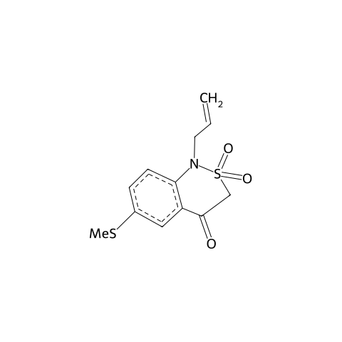 C=CCN1c2ccc(SC)cc2C(=O)CS1(=O)=O